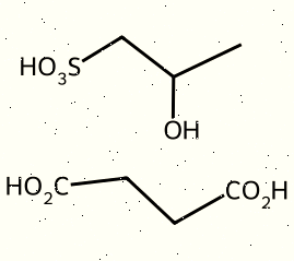 CC(O)CS(=O)(=O)O.O=C(O)CCC(=O)O